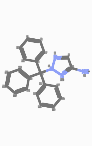 [NH]c1cnn(C(c2ccccc2)(c2ccccc2)c2ccccc2)n1